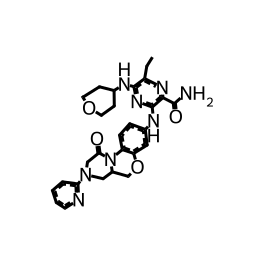 CCc1nc(C(N)=O)c(Nc2ccc3c(c2)OCC2CN(c4ccccn4)CC(=O)N32)nc1NC1CCOCC1